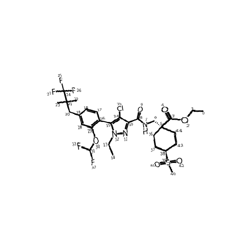 CCOC(=O)[C@]1(CNC(=O)c2nn(CC)c(-c3ccc(CC(C)(C)C(F)(F)F)cc3OC(F)F)c2Cl)CC[C@H](S(C)(=O)=O)CC1